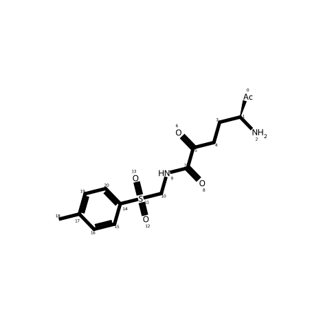 CC(=O)[C@@H](N)CCC(=O)C(=O)NCS(=O)(=O)c1ccc(C)cc1